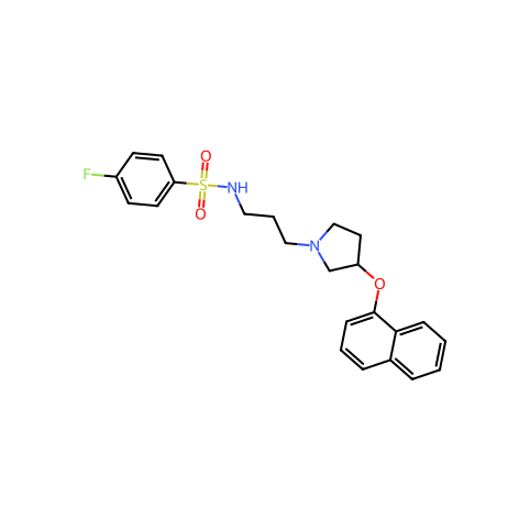 O=S(=O)(NCCCN1CCC(Oc2cccc3ccccc23)C1)c1ccc(F)cc1